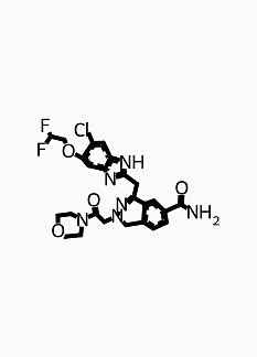 NC(=O)c1ccc2c(c1)C(Cc1nc3cc(OCC(F)F)c(Cl)cc3[nH]1)=NN(CC(=O)N1CCOCC1)C2